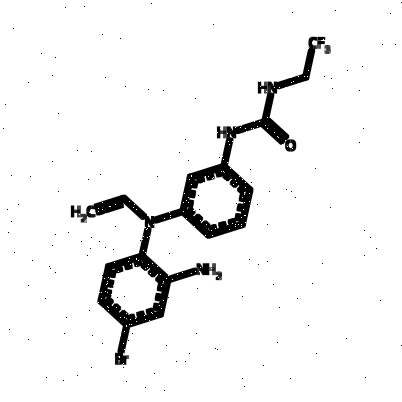 C=CN(c1cccc(NC(=O)NCC(F)(F)F)c1)c1ccc(Br)cc1N